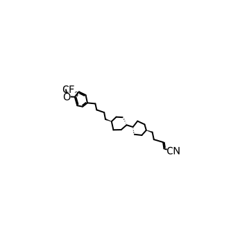 N#CC=CCC[C@H]1CC[C@H]([C@H]2CC[C@H](CCCCc3ccc(OC(F)(F)F)cc3)CC2)CC1